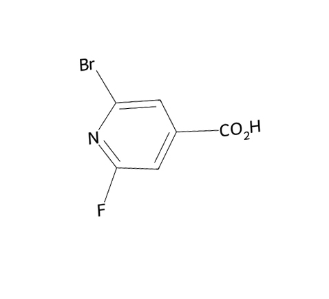 O=C(O)c1cc(F)nc(Br)c1